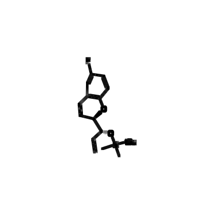 C=C[C@@H](O[Si](C)(C)C(C)(C)C)[C@H]1C=Cc2cc(F)ccc2O1